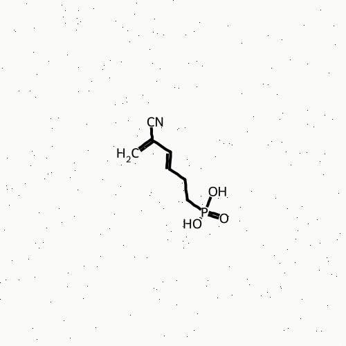 C=C(C#N)C=CCCP(=O)(O)O